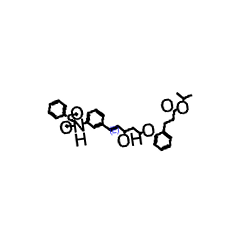 CC(C)OC(=O)CCc1ccccc1OCCC(O)/C=C/c1cccc(NS(=O)(=O)c2ccccc2)c1